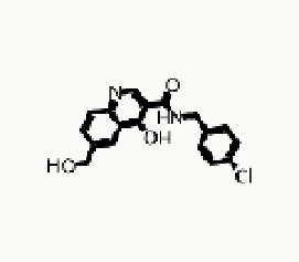 O=C(NCc1ccc(Cl)cc1)c1cnc2ccc(CO)cc2c1O